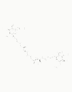 CC(CCCCNC(=O)CCCCOC1OC(CO)C(O)C(O)C1O)NC(=O)CCCCOC1OC(CO)C(O)C(O)C1O